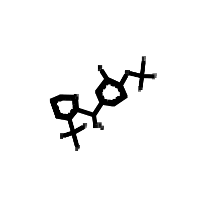 NC(c1ccc(OC(F)(F)F)c(F)c1)c1ncccc1C(F)(F)F